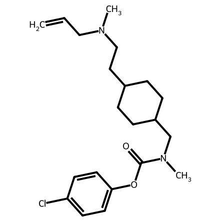 C=CCN(C)CCC1CCC(CN(C)C(=O)Oc2ccc(Cl)cc2)CC1